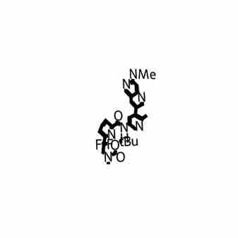 CNc1cc2ncc(-c3cc(NC(=O)c4cccc(C(F)(F)CN(C)C(=O)OC(C)(C)C)n4)cnc3C)cc2cn1